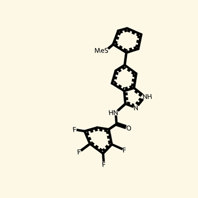 CSc1ccccc1-c1ccc2c(NC(=O)c3cc(F)c(F)c(F)c3F)n[nH]c2c1